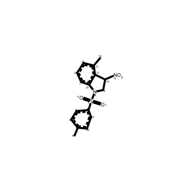 Cc1ccc(S(=O)(=O)N2CC([N+](=O)[O-])c3c(C)cccc32)cc1